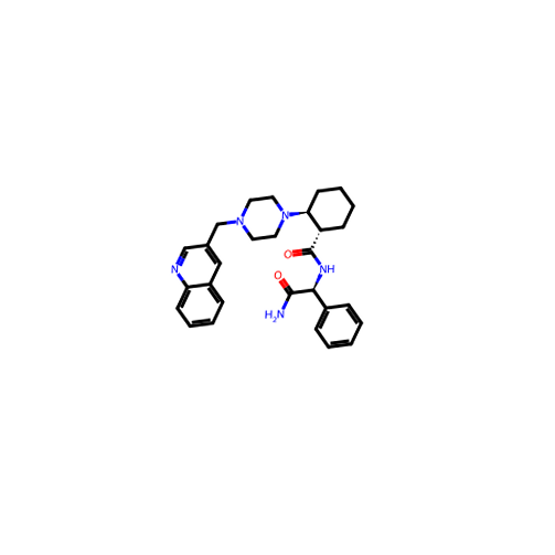 NC(=O)[C@@H](NC(=O)[C@H]1CCCC[C@@H]1N1CCN(Cc2cnc3ccccc3c2)CC1)c1ccccc1